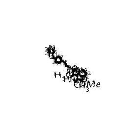 COC(=O)C1=C(C)NC(C)=C(C(=O)OC/C=C/c2ccc(Cn3ccnc3)cc2)C1C1(S)C=CC=CN1